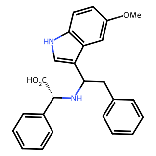 COc1ccc2[nH]cc(C(Cc3ccccc3)N[C@@H](C(=O)O)c3ccccc3)c2c1